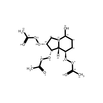 CC(=O)OO[C@H]1[C@H]2[C@H](OOC(C)=O)CCC(O)N2C[C@H]1OOC(C)=O